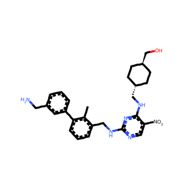 Cc1c(CNc2ncc([N+](=O)[O-])c(NC[C@H]3CC[C@H](CO)CC3)n2)cccc1-c1cccc(CN)c1